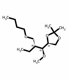 CCCCOC[C@@H](CC)[C@H](OC)[C@@H]1COC(C)(C)O1